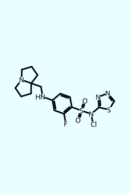 O=S(=O)(c1ccc(NCC23CCCN2CCC3)cc1F)N(Cl)c1nncs1